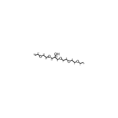 CCOCCOCCOCC(O)COCCOCC